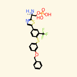 C[C@](N)(COP(=O)(O)O)c1ncc(-c2ccc(Sc3cccc(OCc4ccccc4)c3)c(C(F)(F)F)c2)s1